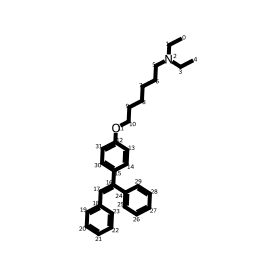 CCN(CC)CCCCCCOc1ccc(C(=Cc2ccccc2)c2ccccc2)cc1